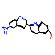 CNc1ccc2ncc(-c3[c]cc4cc(C=O)ccc4n3)cc2c1